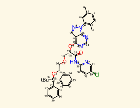 Cc1ccc(C)c(-n2ncc3c(O[C@@H](COCCO[Si](c4ccccc4)(c4ccccc4)C(C)(C)C)C(=O)Nc4ccc(Cl)cn4)ncnc32)c1